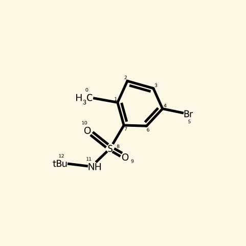 Cc1ccc(Br)cc1S(=O)(=O)NC(C)(C)C